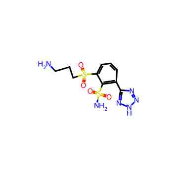 NCCCS(=O)(=O)c1cccc(-c2nn[nH]n2)c1S(N)(=O)=O